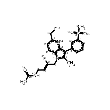 Cc1c(-c2cccc(S(C)(=O)=O)c2)c2nc(CF)ccc2n1CC(F)=CCNC(=O)O